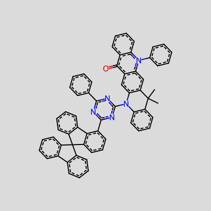 CC1(C)c2ccccc2N(c2nc(-c3ccccc3)nc(-c3cccc4c3-c3ccccc3C43c4ccccc4-c4ccccc43)n2)c2cc3c(=O)c4ccccc4n(-c4ccccc4)c3cc21